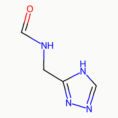 O=CNCc1nnc[nH]1